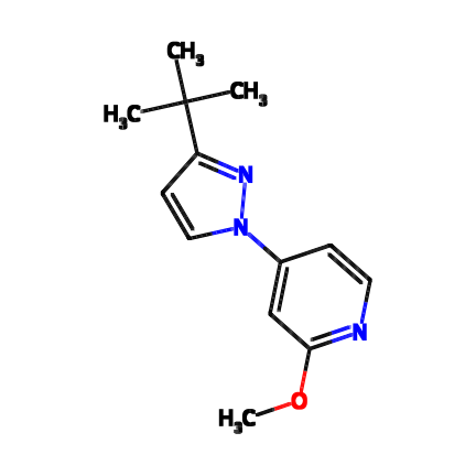 COc1cc(-n2ccc(C(C)(C)C)n2)ccn1